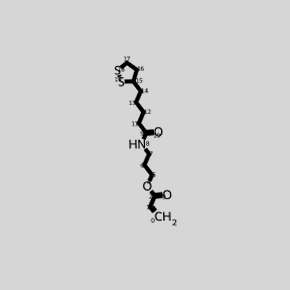 C=CC(=O)OCCCNC(=O)CCCCC1CCSS1